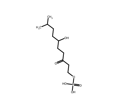 CC(C)CCC(O)CCC(=O)CCOP(=O)(O)O